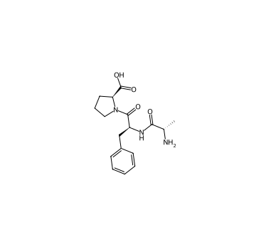 C[C@H](N)C(=O)N[C@@H](Cc1ccccc1)C(=O)N1CCC[C@H]1C(=O)O